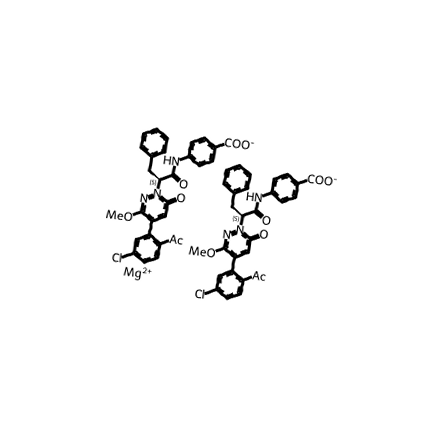 COc1nn([C@@H](Cc2ccccc2)C(=O)Nc2ccc(C(=O)[O-])cc2)c(=O)cc1-c1cc(Cl)ccc1C(C)=O.COc1nn([C@@H](Cc2ccccc2)C(=O)Nc2ccc(C(=O)[O-])cc2)c(=O)cc1-c1cc(Cl)ccc1C(C)=O.[Mg+2]